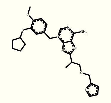 COc1ccc(Cn2cnc(N)c3nc(C(C)COCc4cccs4)nc2-3)cc1OC1CCCC1